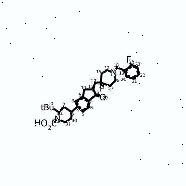 CC(C)(C)C1CC(c2ccc3c(c2)CC(CC2(F)CCN(Cc4ccccc4F)CC2)C3=O)CCN1C(=O)O